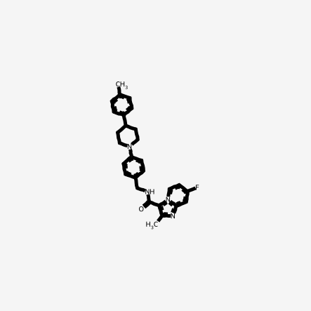 Cc1ccc(C2CCN(c3ccc(CNC(=O)c4c(C)nc5cc(F)ccn45)cc3)CC2)cc1